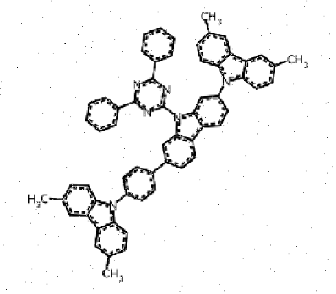 Cc1ccc2c(c1)c1cc(C)ccc1n2-c1ccc(-c2ccc3c4ccc(-n5c6ccc(C)cc6c6cc(C)ccc65)cc4n(-c4nc(-c5ccccc5)nc(-c5ccccc5)n4)c3c2)cc1